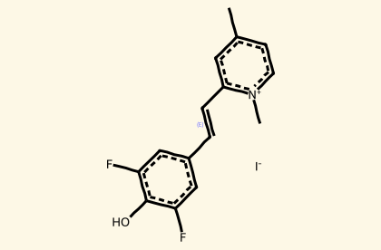 Cc1cc[n+](C)c(/C=C/c2cc(F)c(O)c(F)c2)c1.[I-]